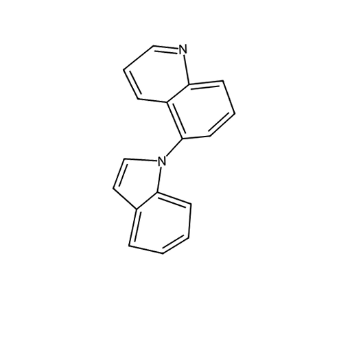 c1ccc2c(c1)ccn2-c1cccc2ncccc12